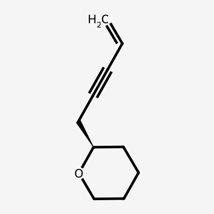 C=CC#CC[C@H]1CCCCO1